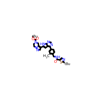 Cc1cc(-c2ncnc3[nH]c(-c4cnn5c4CN(C(=O)OC(C)(C)C)CC5)cc23)ccc1CNC(=O)c1cnc(C(C)(C)C)s1